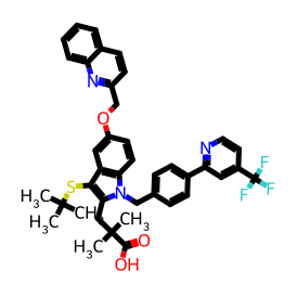 CC(C)(C)Sc1c(CC(C)(C)C(=O)O)n(Cc2ccc(-c3cc(C(F)(F)F)ccn3)cc2)c2ccc(OCc3ccc4ccccc4n3)cc12